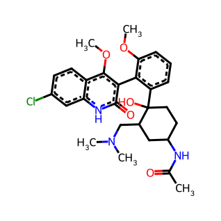 COc1cccc(C2(O)CCC(NC(C)=O)CC2CN(C)C)c1-c1c(OC)c2ccc(Cl)cc2[nH]c1=O